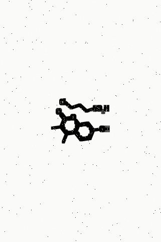 Cc1c(C)c2ccc(O)cc2oc1=O.O=S(=O)(O)CCCCl